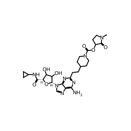 CN1CCC(OC(=O)N2CCC(CCc3nc(N)c4ncn([C@@H]5O[C@H](C(=O)NC6CC6)C(O)C5O)c4n3)CC2)C1=O